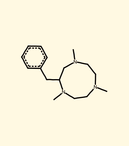 CN1CCN(C)CC(Cc2ccccc2)N(C)CC1